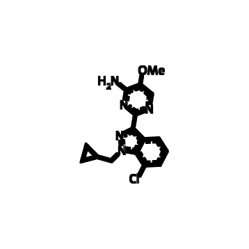 COc1cnc(-c2nn(CC3CC3)c3c(Cl)cccc23)nc1N